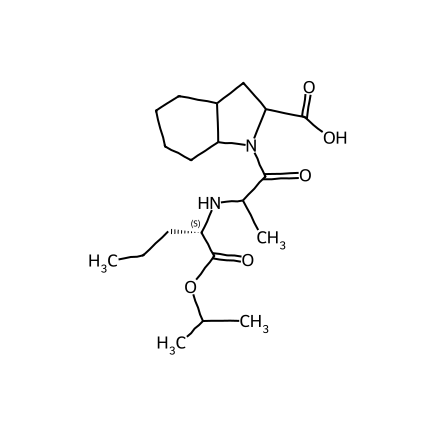 CCC[C@H](NC(C)C(=O)N1C(C(=O)O)CC2CCCCC21)C(=O)OC(C)C